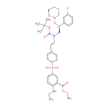 CCNc1ccc(S(=O)(=O)c2ccc(CCN(C[C@@H](OC3CCCCO3)c3cccc(Cl)c3)C(=O)OC(C)(C)C)cc2)cc1C(=O)OCC